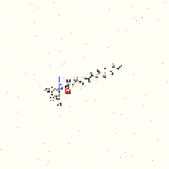 CCCCCCCCCCCCCCCC(=O)Nc1cc(C)cc(C)c1